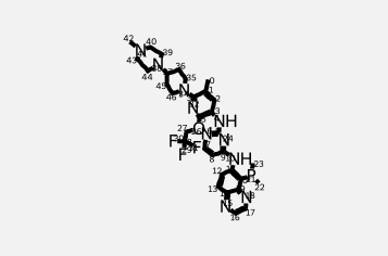 Cc1cc(Nc2nccc(Nc3ccc4nccnc4c3P(C)C)n2)c(OCC(F)(F)F)nc1N1CCC(N2CCN(C)CC2)CC1